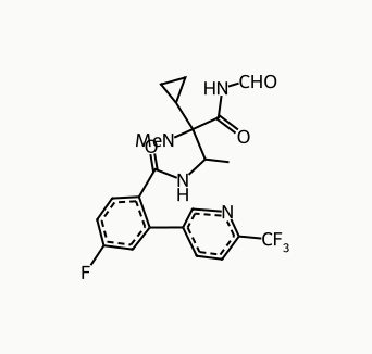 CNC(C(=O)NC=O)(C1CC1)C(C)NC(=O)c1ccc(F)cc1-c1ccc(C(F)(F)F)nc1